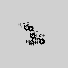 CN1CCc2cc(Nc3ncc(-c4cnn[nH]4)c(N[C@H](CO)c4ccccc4)n3)ccc2C1=O